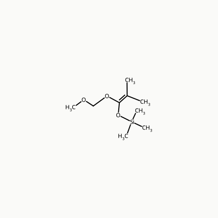 COCOC(O[Si](C)(C)C)=C(C)C